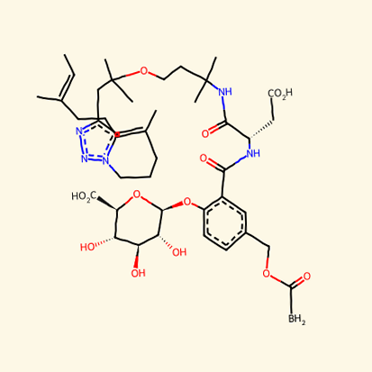 BC(=O)OCc1ccc(O[C@@H]2O[C@H](C(=O)O)[C@@H](O)[C@H](O)[C@H]2O)c(C(=O)N[C@@H](CC(=O)O)C(=O)NC(C)(C)CCOC(C)(C)Cc2cn(CCC/C(C)=C/CC/C(C)=C/C)nn2)c1